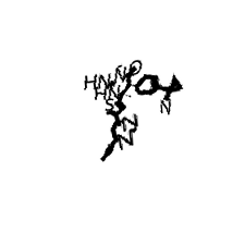 CC#Cc1cc(-c2csc([C@@]3(C)NC(=N)N(C)C(=O)[C@@H]3c3ccc(C4(C#N)CC4)cc3)c2)ncn1